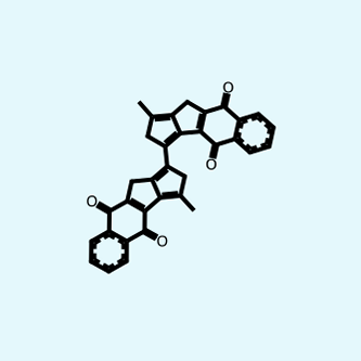 CC1=C2CC3=C(C(=O)c4ccccc4C3=O)C2=C(C2=C3CC4=C(C(=O)c5ccccc5C4=O)C3=C(C)C2)C1